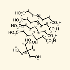 O=C(O)CCSCCC(=O)O.O=C(O)CCSCCC(=O)O.O=C(O)CCSCCC(=O)O.O=C(O)CCSCCC(=O)O.OCC(CO)(CO)CO